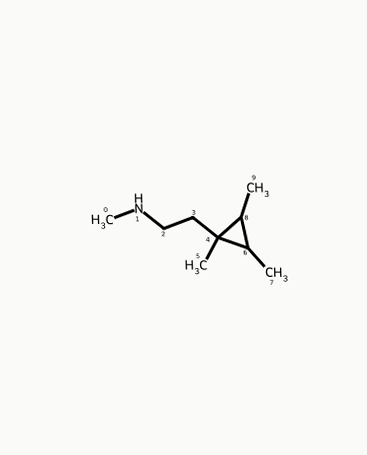 CNCCC1(C)C(C)C1C